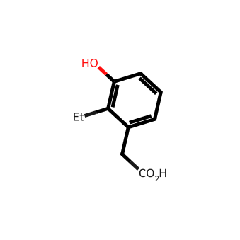 CCc1c(O)cccc1CC(=O)O